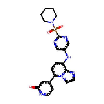 O=c1cc(-c2ccc(Nc3cnc(S(=O)(=O)N4CCCCC4)nc3)c3nccn23)cc[nH]1